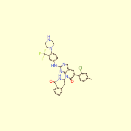 Cc1ccc(-c2cc3cnc(Nc4ccc(N5CCNCC5)c(C(F)(F)F)c4)nc3n(C3Cc4ccccc4C(=O)N3)c2=O)c(Cl)c1